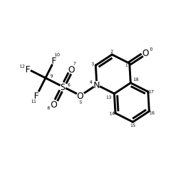 O=c1ccn(OS(=O)(=O)C(F)(F)F)c2ccccc12